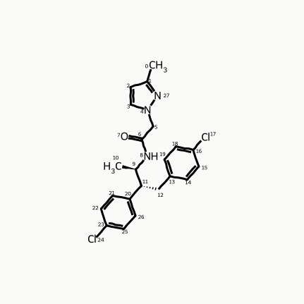 Cc1ccn(CC(=O)N[C@H](C)[C@H](Cc2ccc(Cl)cc2)c2ccc(Cl)cc2)n1